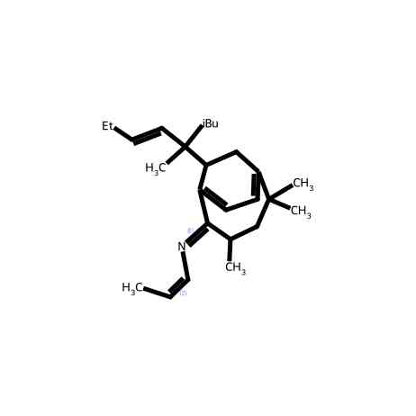 C/C=C\N=C1\C2=CC=C(CC2C(C)(C=CCC)C(C)CC)C(C)(C)CC1C